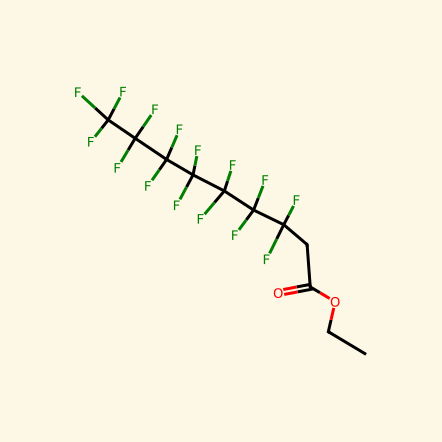 CCOC(=O)CC(F)(F)C(F)(F)C(F)(F)C(F)(F)C(F)(F)C(F)(F)C(F)(F)F